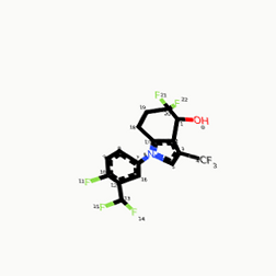 OC1c2c(C(F)(F)F)cn(-c3ccc(F)c(C(F)F)c3)c2CCC1(F)F